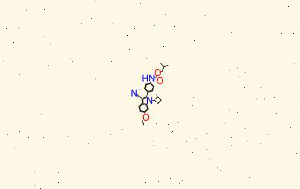 CCOc1ccc2c(C#N)c(-c3ccc(NC(=O)OCC(C)C)cc3)n(C3CCC3)c2c1